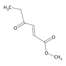 CCC(=O)C=CC(=O)OC